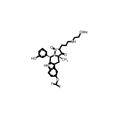 COCCNCCCC1C(=O)[C@]2(C)Cc3c([nH]c4ccc(OC(F)F)cc34)[C@@H](c3cccc(O)c3)N2[N+]1=O